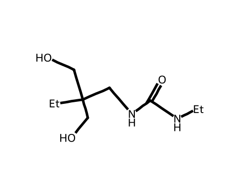 CCNC(=O)NCC(CC)(CO)CO